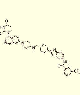 CN(C[C@H]1CC[C@H](n2cc3cc(NC(=O)c4cccc(C(F)(F)F)n4)ccc3n2)CC1)C1CCN(c2ccc3c(N4CCC(=O)NC4=O)cncc3c2)CC1